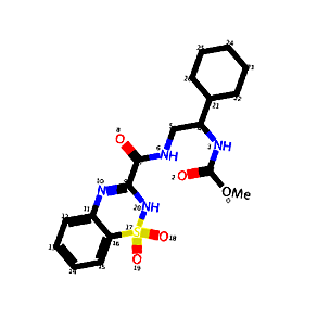 COC(=O)NC(CNC(=O)C1=Nc2ccccc2S(=O)(=O)N1)C1CCCCC1